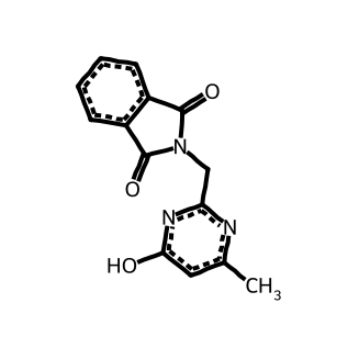 Cc1cc(O)nc(CN2C(=O)c3ccccc3C2=O)n1